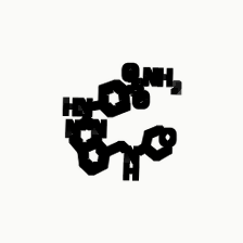 NS(=O)(=O)c1ccc(Nc2ncc3cccc(CNC4CCOCC4)c3n2)cc1